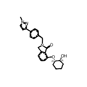 Cn1ccc(-c2ccc(CN3Cc4cccc(O[C@H]5CCCC[C@@H]5O)c4C3=O)cc2)n1